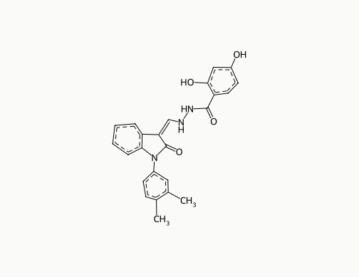 Cc1ccc(N2C(=O)/C(=C\NNC(=O)c3ccc(O)cc3O)c3ccccc32)cc1C